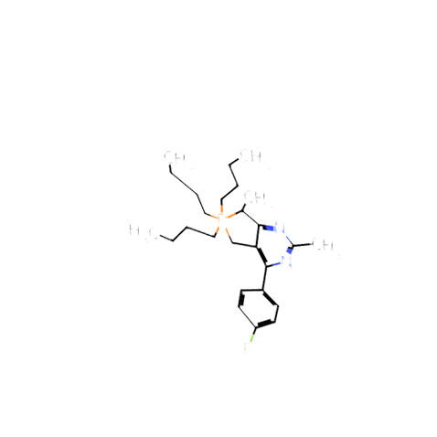 CCCCP1(CCCC)(CCCC)Cc2c(-c3ccc(F)cc3)nc(C)nc2C1C